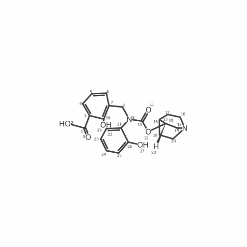 O=C(O)c1cccc(CN(C(=O)O[C@H]2CN3CCC2CC3)c2ccccc2O)c1O